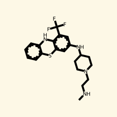 CNCCN1CCC(Nc2cc3c(c(C(F)(F)F)c2)Nc2ccccc2S3)CC1